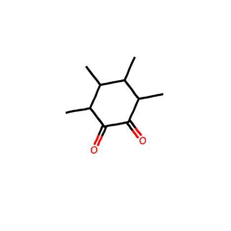 CC1C(=O)C(=O)C(C)C(C)C1C